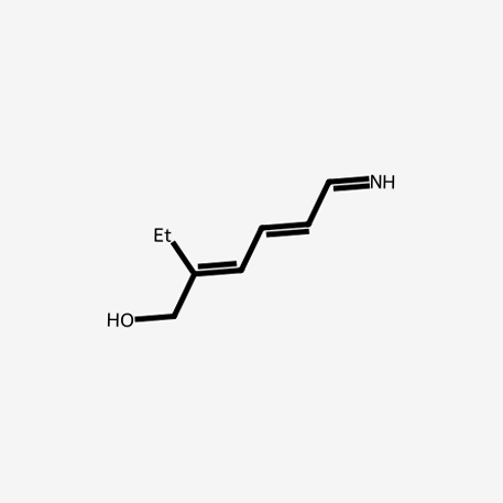 CC/C(=C\C=C\C=N)CO